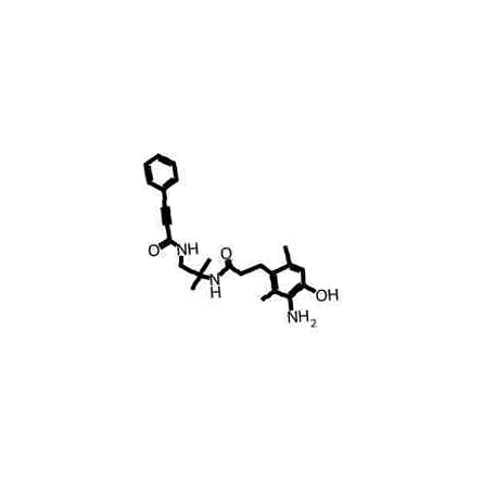 Cc1cc(O)c(N)c(C)c1CCC(=O)NC(C)(C)CNC(=O)C#Cc1ccccc1